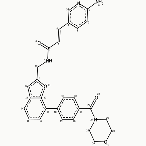 Nc1ccc(C=CC(=O)NCc2cc3cccc(-c4ccc(C(=O)N5CCOCC5)cc4)c3o2)cn1